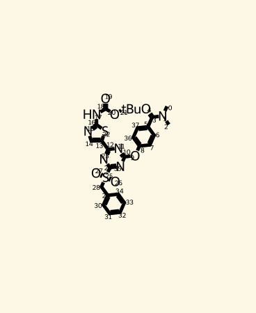 CN(C)C(=O)c1ccc(Oc2nc(-c3cnc(NC(=O)OC(C)(C)C)s3)nc(S(=O)(=O)Cc3ccccc3)n2)cc1